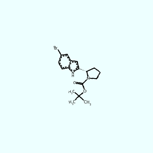 CC(C)(C)OC(=O)N1CCC[C@H]1c1cc2cc(Br)ccc2[nH]1